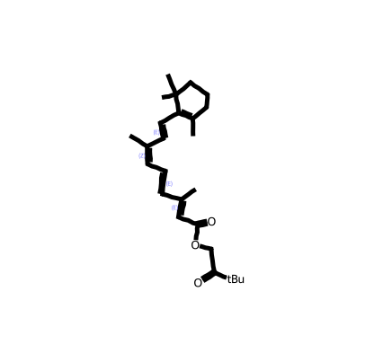 CC1=C(/C=C/C(C)=C\C=C\C(C)=C\C(=O)OCC(=O)C(C)(C)C)C(C)(C)CCC1